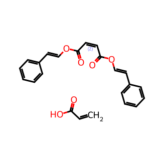 C=CC(=O)O.O=C(/C=C\C(=O)OC=Cc1ccccc1)OC=Cc1ccccc1